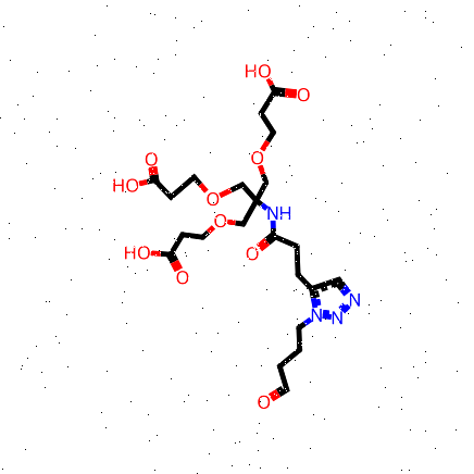 O=CCCCn1nncc1CCC(=O)NC(COCCC(=O)O)(COCCC(=O)O)COCCC(=O)O